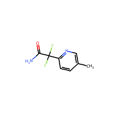 Cc1ccc(C(F)(F)C(N)=O)nc1